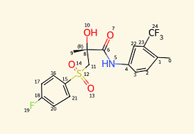 Cc1ccc(NC(=O)[C@@](C)(O)CS(=O)(=O)c2ccc(F)cc2)cc1C(F)(F)F